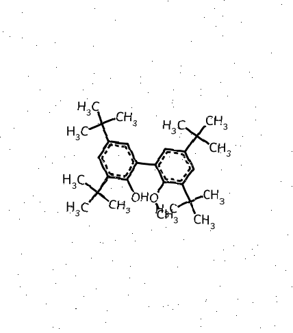 COc1c(-c2cc(C(C)(C)C)cc(C(C)(C)C)c2O)cc(C(C)(C)C)cc1C(C)(C)C